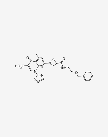 Cc1cc(N2CC(C(=O)NCCOCc3ccccc3)C2)nc2c1c(=O)c(C(=O)O)cn2-c1ncns1